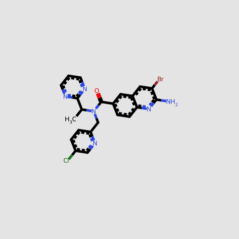 CC(c1ncccn1)N(Cc1ccc(Cl)cn1)C(=O)c1ccc2nc(N)c(Br)cc2c1